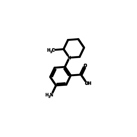 CC1CCCCN1c1ccc(N)cc1C(=O)O